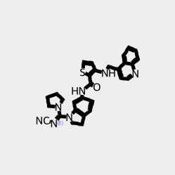 N#C/N=C(\N1CCCC1)N1CCc2ccc(NC(=O)c3sccc3NCc3ccnc4ccccc34)cc21